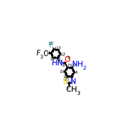 Cc1nc2cc(N)c(C(=O)Nc3ccc(F)c(C(F)(F)F)c3)cc2s1